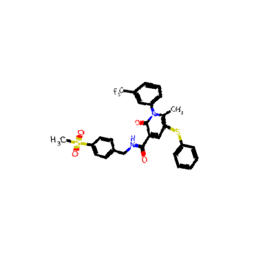 Cc1c(Sc2ccccc2)cc(C(=O)NCc2ccc(S(C)(=O)=O)cc2)c(=O)n1-c1cccc(C(F)(F)F)c1